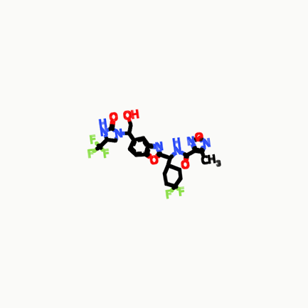 Cc1nonc1C(=O)NC(c1nc2cc(C(CO)N3CC(C(F)(F)F)NC3=O)ccc2o1)C1CCC(F)(F)CC1